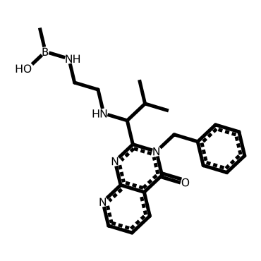 CB(O)NCCNC(c1nc2ncccc2c(=O)n1Cc1ccccc1)C(C)C